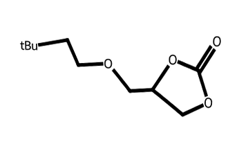 CC(C)(C)CCOCC1COC(=O)O1